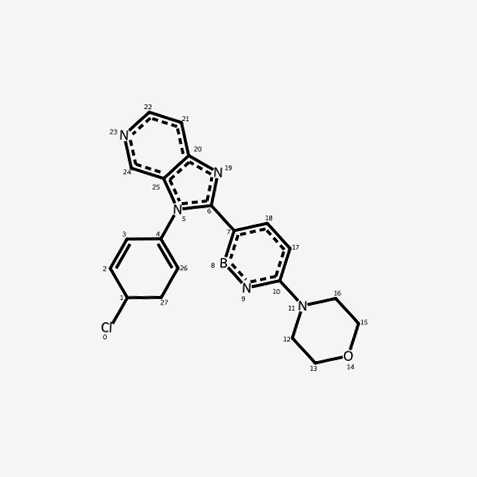 ClC1C=CC(n2c(-c3bnc(N4CCOCC4)cc3)nc3ccncc32)=CC1